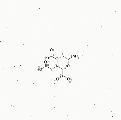 NC(=O)C[C@@H](C(=O)O)N(CC(=O)O)CC(=O)O